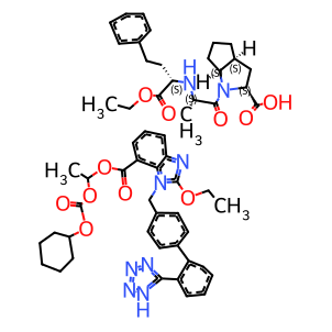 CCOC(=O)[C@H](CCc1ccccc1)N[C@@H](C)C(=O)N1[C@H](C(=O)O)C[C@@H]2CCC[C@@H]21.CCOc1nc2cccc(C(=O)OC(C)OC(=O)OC3CCCCC3)c2n1Cc1ccc(-c2ccccc2-c2nnn[nH]2)cc1